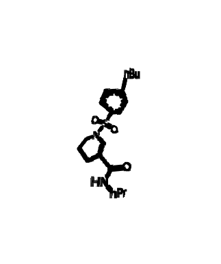 CCCCc1ccc(S(=O)(=O)N2CCCC(C(=O)NCCC)C2)cc1